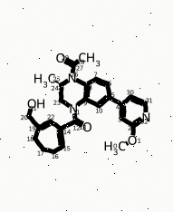 COc1cc(-c2ccc3c(c2)N(C(=O)C2=CCCCC(CO)=C2)C[C@H](C)N3C(C)=O)ccn1